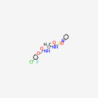 C=C(CCNC(=O)COc1ccc(Cl)c(F)c1)NC(=O)CSON1c2ccccc21